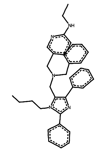 CCCCn1c(-c2ccccc2)nc(-c2ccccc2)c1CN(Cc1ccccc1)Cc1ccc(NCC)nc1